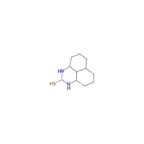 SC1NC2CCCC3CCCC(N1)C32